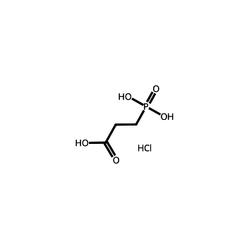 Cl.O=C(O)CCP(=O)(O)O